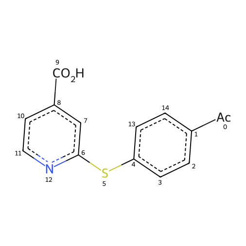 CC(=O)c1ccc(Sc2cc(C(=O)O)ccn2)cc1